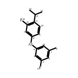 Cc1cc(F)cc(Oc2ccc(C(C)C)c(F)c2)c1